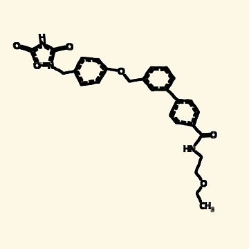 CCOCCNC(=O)c1ccc(-c2cccc(COc3ccc(Cn4oc(=O)[nH]c4=O)cc3)c2)cc1